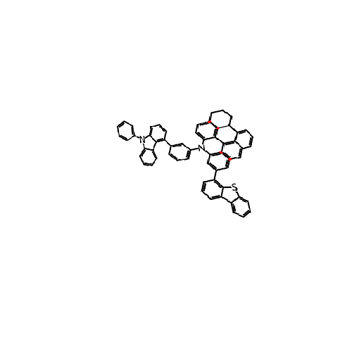 c1ccc(-n2c3ccccc3c3c(-c4cccc(N(c5cccc(-c6cccc7c6sc6ccccc67)c5)c5ccccc5-c5cccc6cccc(C7CCCCC7)c56)c4)cccc32)cc1